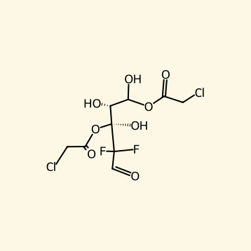 O=CC(F)(F)[C@@](O)(OC(=O)CCl)[C@H](O)C(O)OC(=O)CCl